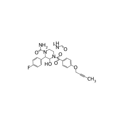 CC#CCOc1ccc(S(=O)(=O)N2CCN(C(N)=O)C(c3ccc(F)cc3)C2O)cc1.O=CNI